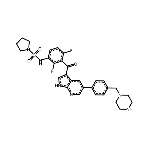 O=C(c1c(F)ccc(NS(=O)(=O)N2CCCC2)c1F)c1c[nH]c2ncc(-c3ccc(CN4CCNCC4)cc3)cc12